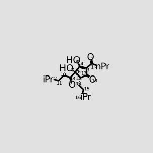 CCCC(=O)C1=C(O)[C@@](O)(C(=O)CCC(C)C)[C@@H](CCC(C)C)C1=O